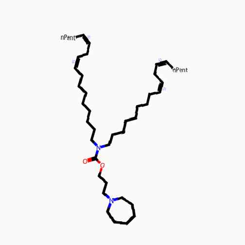 CCCCC/C=C\C/C=C\CCCCCCCCN(CCCCCCCC/C=C\C/C=C\CCCCC)C(=O)OCCCN1CCCCCC1